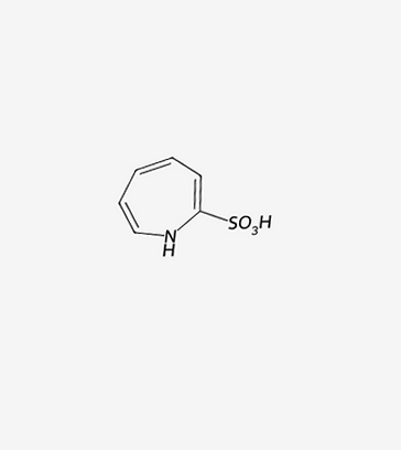 O=S(=O)(O)C1=CC=CC=CN1